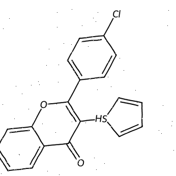 O=c1c([SH]2C=CC=C2)c(-c2ccc(Cl)cc2)oc2ccccc12